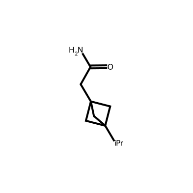 CC(C)C12CC(CC(N)=O)(C1)C2